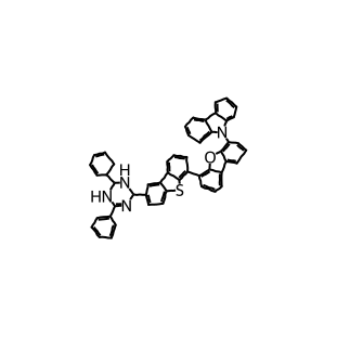 C1=CCC(C2NC(c3ccccc3)=NC(c3ccc4sc5c(-c6cccc7c6oc6c(-n8c9ccccc9c9ccccc98)cccc67)cccc5c4c3)N2)C=C1